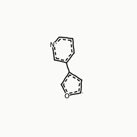 [c]1cc(-c2cccnc2)co1